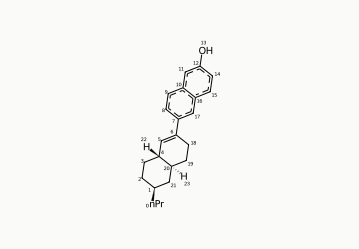 CCC[C@H]1CC[C@@H]2C=C(c3ccc4cc(O)ccc4c3)CC[C@H]2C1